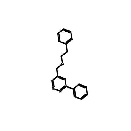 c1ccc(CCOCc2cnnc(-c3ccccc3)c2)cc1